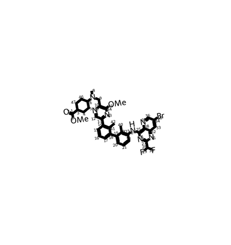 COC(=O)C1CCC(N(C)Cc2ncc(-c3cccc(-c4cccc(Nc5nc(C(F)F)nc6cc(Br)cnc56)c4C)c3C)nc2OC)CC1